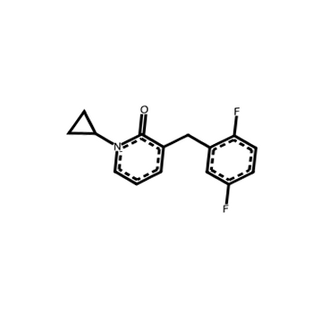 O=c1c(Cc2cc(F)ccc2F)cccn1C1CC1